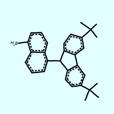 Bc1cccc2c(C3c4ccc(C(C)(C)C)cc4-c4cc(C(C)(C)C)ccc43)cccc12